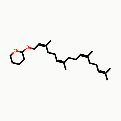 CC(C)=CCCC(C)=CCCC(C)=CCCC(C)=CCOC1CCCCO1